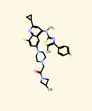 CN(c1nc(-c2ccc(F)cc2)c(C#N)s1)c1cc(C2CC2)nc2c(F)cc(N3CCN(CC(=O)N4CC(C#N)C4)CC3)cc12